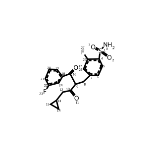 NS(=O)(=O)c1ccc(CC(C(=O)CC2CC2)C(=O)c2cccc(F)c2)cc1F